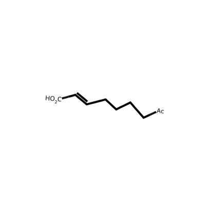 CC(=O)CCCCC=CC(=O)O